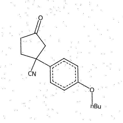 CCCCOc1ccc(C2(C#N)CCC(=O)C2)cc1